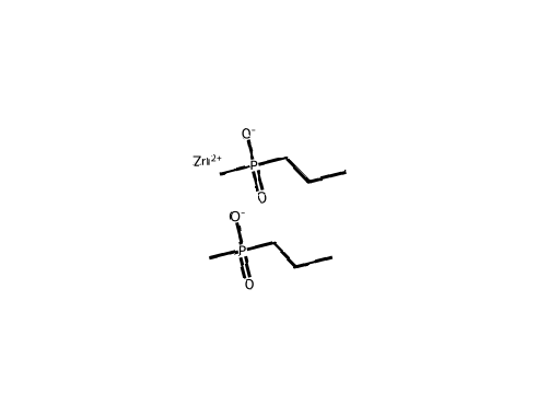 CCCP(C)(=O)[O-].CCCP(C)(=O)[O-].[Zn+2]